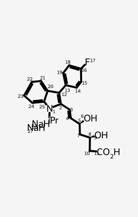 CC(C)n1c(/C=C/[C@@H](O)C[C@@H](O)CC(=O)O)c(-c2ccc(F)cc2)c2ccccc21.[NaH].[NaH]